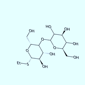 CCS[C@@H]1O[C@H](CO)C(OC2O[C@H](CO)C(O)[C@H](O)C2O)[C@H](O)[C@H]1O